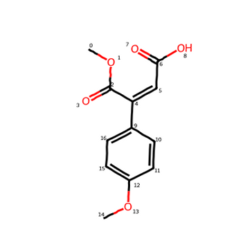 COC(=O)C(=CC(=O)O)c1ccc(OC)cc1